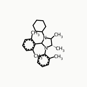 Cc1ccccc1N1C(c2c(C)cccc2C)N(C2CCCCC2)C(C)[C@@H]1C